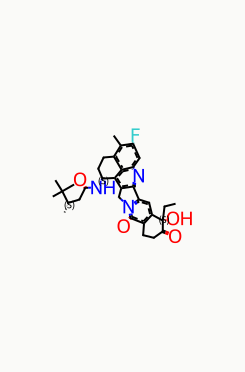 CC[C@@]1(O)C(=O)CCc2c1cc1n(c2=O)Cc2c-1nc1cc(F)c(C)c3c1c2[C@@H](NC(=O)C[C@H](C)C(C)(C)C)CC3